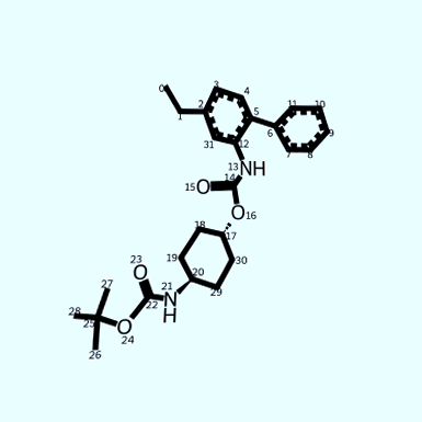 [CH2]Cc1ccc(-c2ccccc2)c(NC(=O)O[C@H]2CC[C@H](NC(=O)OC(C)(C)C)CC2)c1